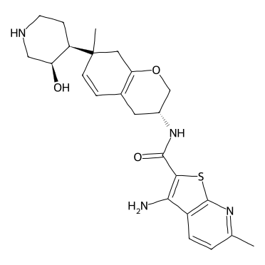 Cc1ccc2c(N)c(C(=O)N[C@H]3COC4=C(C=CC(C)([C@@H]5CCNC[C@@H]5O)C4)C3)sc2n1